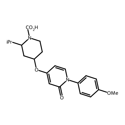 COc1ccc(-n2ccc(OC3CCN(C(=O)O)C(C(C)C)C3)cc2=O)cc1